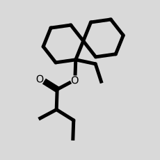 CCC(C)C(=O)OC1(CC)CCCCC12CCCCC2